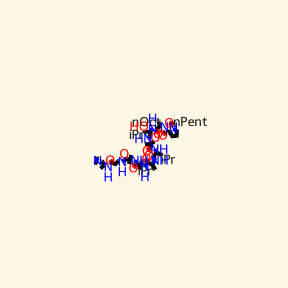 CCCCCCCCC(NC(=O)[C@@H]1CCCN1C(=O)CCCCC)C(=O)NC(C(=O)NC(C)(C)C(=O)NC(CC(C)C)C(=O)NC(CC(C)C)C(=O)NC(C)(C)C(=O)NC(C)(C)C(=O)NCCC(=O)NC(C)CN(C)C)C(O)C(C)C